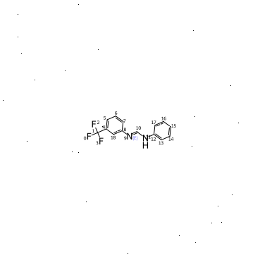 FC(F)(F)c1cccc(/N=C/Nc2ccccc2)c1